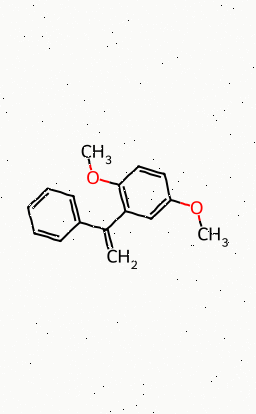 C=C(c1ccccc1)c1cc(OC)ccc1OC